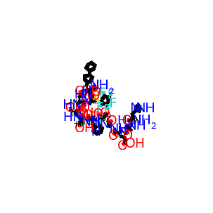 C[C@@H](O)[C@H](NC(=O)CNC(=O)[C@H](CCC(=O)O)NC(=O)C(C)(C)NC(=O)[C@@H](N)Cc1c[nH]cn1)C(=O)NC(C)(Cc1ccccc1F)C(=O)N[C@H](C(=O)N[C@@H](CO)C(=O)N[C@@H](CC(=O)O)C(=O)NC(C)(CSc1c(F)c(F)c(F)c(F)c1F)C(=O)N[C@@H](Cc1ccc(-c2ccccc2)cc1)C(N)=O)[C@@H](C)O